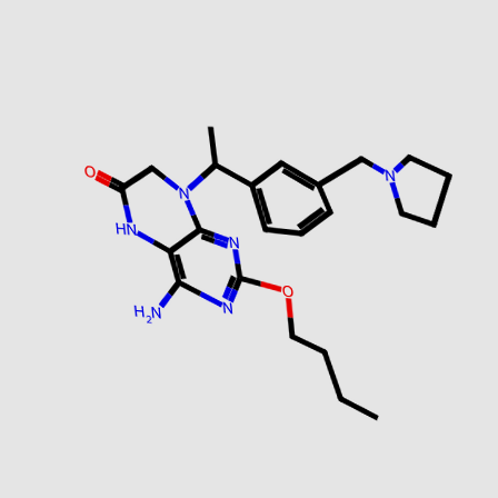 CCCCOc1nc(N)c2c(n1)N(C(C)c1cccc(CN3CCCC3)c1)CC(=O)N2